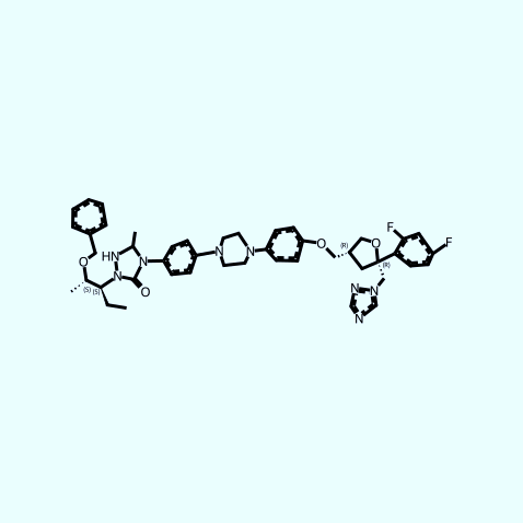 CC[C@@H]([C@H](C)OCc1ccccc1)N1NC(C)N(c2ccc(N3CCN(c4ccc(OC[C@@H]5CO[C@@](Cn6cncn6)(c6ccc(F)cc6F)C5)cc4)CC3)cc2)C1=O